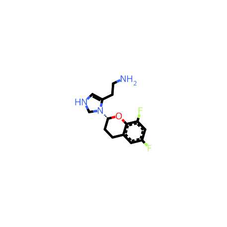 NCCC1=CNCN1[C@H]1CCc2cc(F)cc(F)c2O1